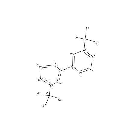 CC(C)(C)c1cc[c]c(-c2[c]ccc(C(C)(C)C)c2)c1